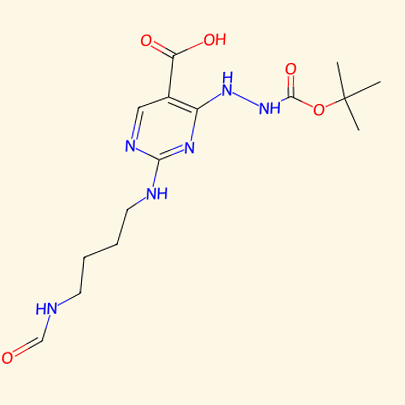 CC(C)(C)OC(=O)NNc1nc(NCCCCNC=O)ncc1C(=O)O